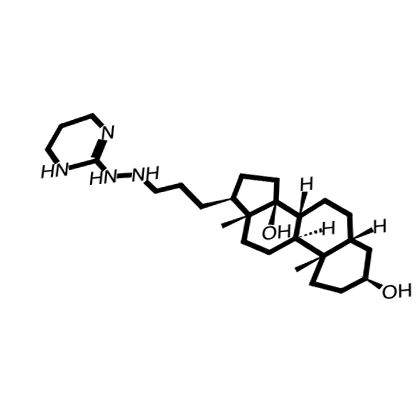 C[C@]12CC[C@H](O)C[C@H]1CC[C@@H]1[C@@H]2CC[C@]2(C)[C@@H](CCCNNC3=NCCCN3)CC[C@]12O